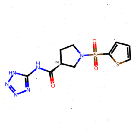 O=C(Nc1nnn[nH]1)[C@H]1CCN(S(=O)(=O)c2cccs2)C1